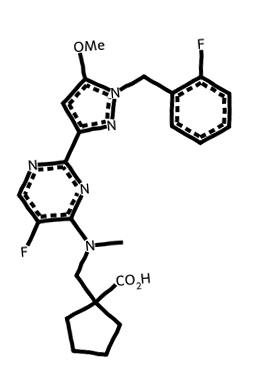 COc1cc(-c2ncc(F)c(N(C)CC3(C(=O)O)CCCC3)n2)nn1Cc1ccccc1F